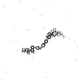 C[C@@H]1CNc2c(sc3ccc4nc(-c5ccc(N6CCC(CN7CCC(c8cccc9c(N%10CCC(=O)NC%10=O)cncc89)CC7)CC6)cc5)ccc4c23)C(=O)N1